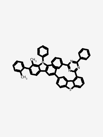 Cc1ccccc1-c1ccc2c3cc(-c4ccc5sc6cccc(-c7nc(-c8ccccc8)nc(-c8ccccc8)n7)c6c5c4)ccc3n(-c3ccccc3)c2c1C